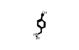 C#Cc1ccc(CNC(C)C)cc1